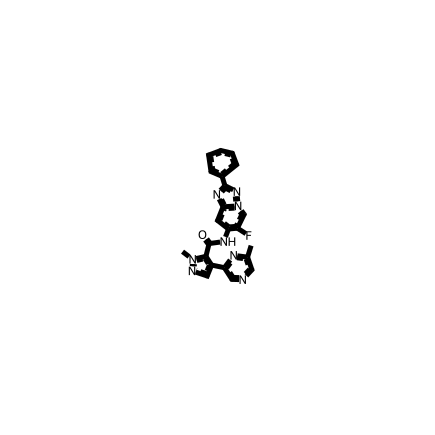 Cc1cncc(-c2cnn(C)c2C(=O)Nc2cc3nc(-c4ccccc4)nn3cc2F)n1